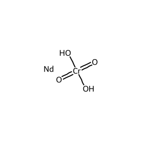 [Nd].[O]=[Cr](=[O])([OH])[OH]